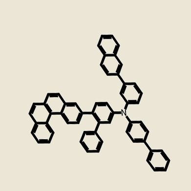 c1ccc(-c2ccc(N(c3cccc(-c4ccc5ccccc5c4)c3)c3ccc(-c4ccc5c(ccc6ccc7ccccc7c65)c4)c(-c4ccccc4)c3)cc2)cc1